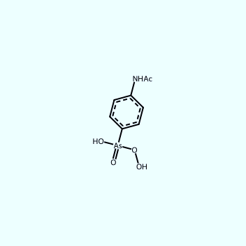 CC(=O)Nc1ccc([As](=O)(O)OO)cc1